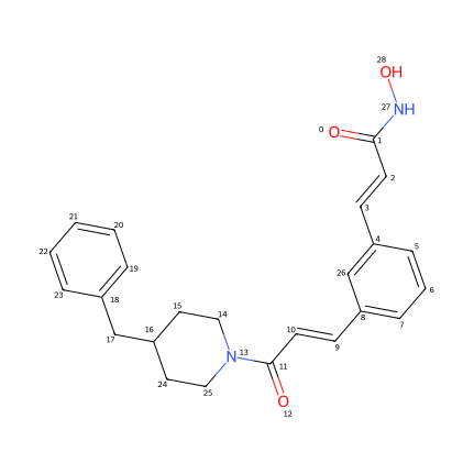 O=C(/C=C/c1cccc(/C=C/C(=O)N2CCC(Cc3ccccc3)CC2)c1)NO